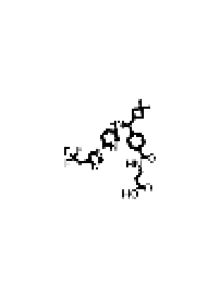 CC1(C)CC(C(Nc2ccc(-n3cnc(CC(F)(F)F)c3)nc2)c2ccc(C(=O)NCCC(=O)O)cc2)C1